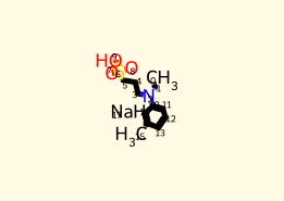 CCN(CCCS(=O)(=O)O)c1cccc(C)c1.[NaH]